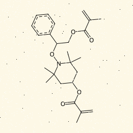 C=C(C)C(=O)OCC(ON1C(C)(C)CC(OC(=O)C(=C)C)CC1(C)C)c1ccccc1